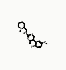 COc1ccc(F)c(-c2cnc(NCC3CCCCN3C)nc2C)c1